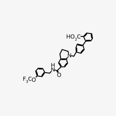 O=C(NCc1cccc(OC(F)(F)F)c1)c1ccc2c(c1)CCCN2Cc1ccc(-c2ccccc2C(=O)O)cc1